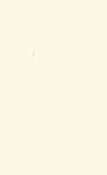 CCCCCCO.O=C(O)O